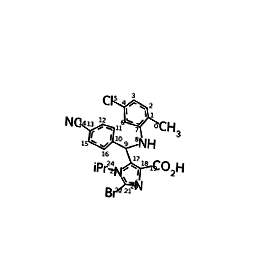 Cc1ccc(Cl)cc1NC(c1ccc(C#N)cc1)c1c(C(=O)O)nc(Br)n1C(C)C